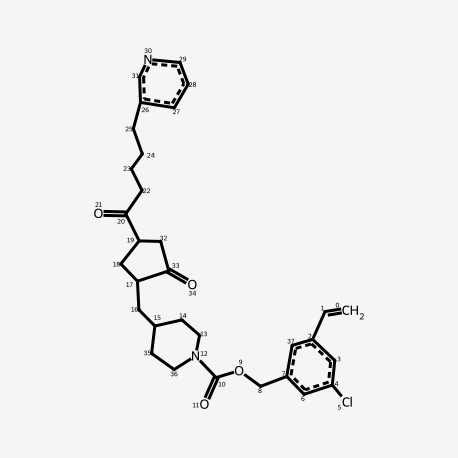 C=Cc1cc(Cl)cc(COC(=O)N2CCC(CC3CC(C(=O)CCCCc4cccnc4)CC3=O)CC2)c1